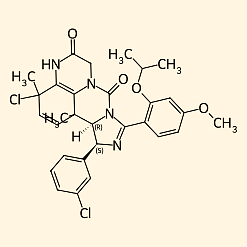 COc1ccc(C2=N[C@@H](c3cccc(Cl)c3)[C@@H]3N2C(=O)N2CC(=O)NC4=C2C3(C)C=CC4(C)Cl)c(OC(C)C)c1